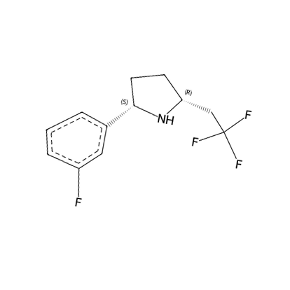 Fc1cccc([C@@H]2CC[C@H](CC(F)(F)F)N2)c1